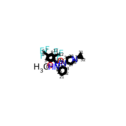 COc1cc(C(F)(F)F)cc(C(F)(F)F)c1C(=O)N[C@@H]1CCCC[C@@H]1NC1CCN(C2CC2)CC1